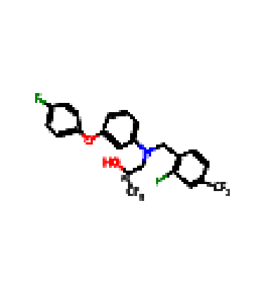 O[C@H](CN(Cc1ccc(C(F)(F)F)cc1F)c1cccc(Oc2ccc(F)cc2)c1)C(F)(F)F